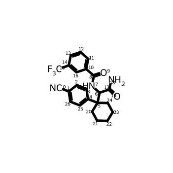 N#Cc1ccc(C2(C(NC(=O)c3cccc(C(F)(F)F)c3)C(N)=O)CCCCC2)cc1